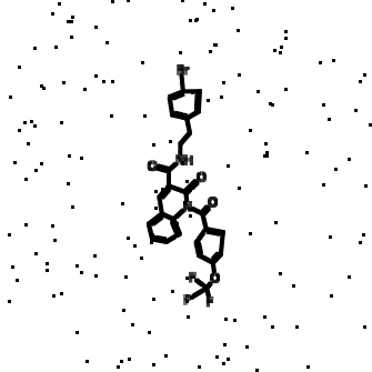 O=C(NCCc1ccc(Br)cc1)c1cc2ccccc2n(C(=O)c2ccc(OC(F)(F)F)cc2)c1=O